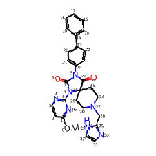 COc1ccnc(N2C(=O)N(c3ccc(-c4ccccc4)cc3)C(=O)C23CCN(Cc2ncc[nH]2)CC3)n1